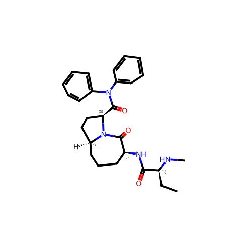 CC[C@H](NC)C(=O)N[C@H]1CCC[C@H]2CC[C@@H](C(=O)N(c3ccccc3)c3ccccc3)N2C1=O